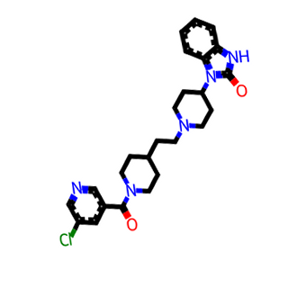 O=C(c1cncc(Cl)c1)N1CCC(CCN2CCC(n3c(=O)[nH]c4ccccc43)CC2)CC1